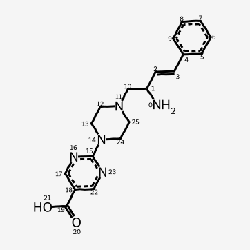 NC(/C=C/c1ccccc1)CN1CCN(c2ncc(C(=O)O)cn2)CC1